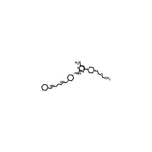 CCOCCN1CCN(c2cc(N)nc(NC[C@H]3CC[C@H](CNCCCNCC4CCCCC4)CC3)n2)CC1